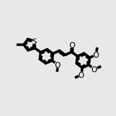 COc1ccc(-c2cc(C)cs2)cc1C=CC(=O)c1cc(OC)c(OC)c(OC)c1